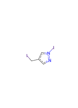 ICc1cnn(I)c1